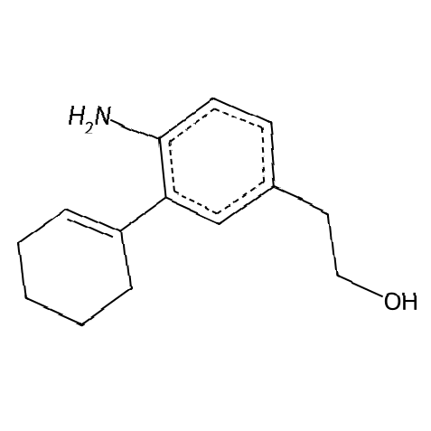 Nc1ccc(CCO)cc1C1=CCCCC1